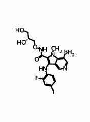 Bc1cncc2c(Nc3ccc(I)cc3F)c(C(=O)NOC[C@H](O)CO)n(C)c12